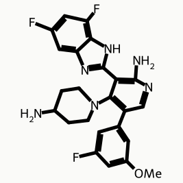 COc1cc(F)cc(-c2cnc(N)c(-c3nc4cc(F)cc(F)c4[nH]3)c2N2CCC(N)CC2)c1